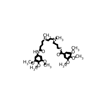 COc1cc(NC(=O)CCCN(C)CCN(C)CCCSC(=O)c2cc(OC)c(OC)c(OC)c2)cc(OC)c1OC